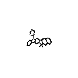 CC1(C)c2cc3ccccc3cc2-c2cc3c(cc21)c1ccccc1n3-c1ncncn1